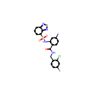 O=C(NCc1ccc(F)cc1Cl)c1ccc(I)cc1NS(=O)(=O)c1cccc2nsnc12